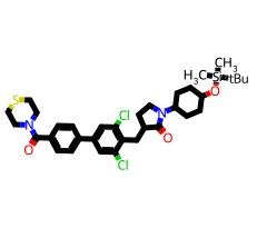 CC(C)(C)[Si](C)(C)OC1CCC(N2CCC(Cc3c(Cl)cc(-c4ccc(C(=O)N5CCSCC5)cc4)cc3Cl)C2=O)CC1